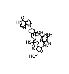 Nc1nc2c(nnn2[C@@H]2O[C@H](CO)[C@@H](F)[C@H]2OP(=O)(S)OC[C@H]2O[C@@H](n3nnc4c(=O)[nH]cnc43)C[C@]2(O)F)c(=O)[nH]1